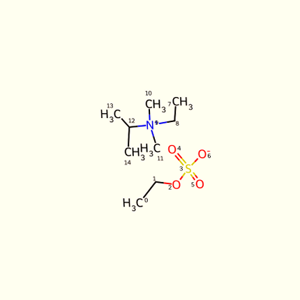 CCOS(=O)(=O)[O-].CC[N+](C)(C)C(C)C